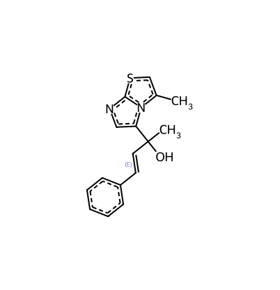 Cc1csc2ncc(C(C)(O)/C=C/c3ccccc3)n12